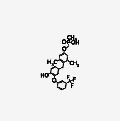 Cc1cc(OCP(C)(=O)O)cc(C)c1Cc1ccc(O)c(Oc2cccc(C(F)(F)F)c2)c1